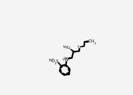 C=CCOCC(O)CNc1ccccc1S(=O)(=O)O